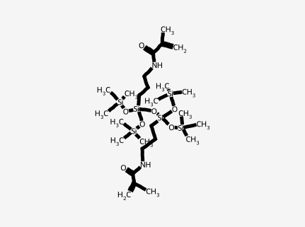 C=C(C)C(=O)NCCC[Si](O[Si](C)(C)C)(O[Si](C)(C)C)O[Si](CCCNC(=O)C(=C)C)(O[Si](C)(C)C)O[Si](C)(C)C